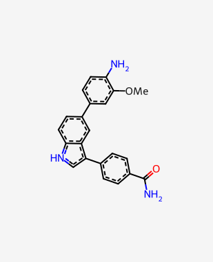 COc1cc(-c2ccc3[nH]cc(-c4ccc(C(N)=O)cc4)c3c2)ccc1N